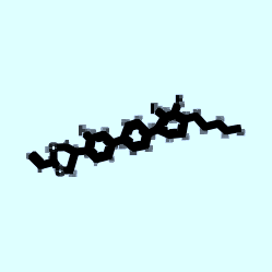 C=CC1OCC(c2ccc(-c3ccc(-c4ccc(CCCCC)c(F)c4F)cc3)cc2F)CO1